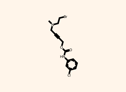 CN(CC#CCOC(=O)Nc1cccc(Cl)c1)CCBr